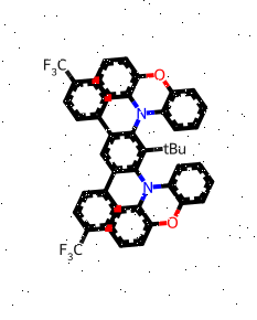 CC(C)(C)c1c(N2c3ccccc3Oc3ccccc32)c(-c2ccc(C(F)(F)F)cc2)cc(-c2ccc(C(F)(F)F)cc2)c1N1c2ccccc2Oc2ccccc21